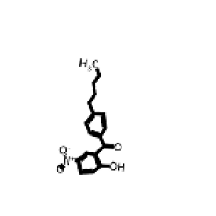 CCCCCc1ccc(C(=O)c2cc([N+](=O)[O-])ccc2O)cc1